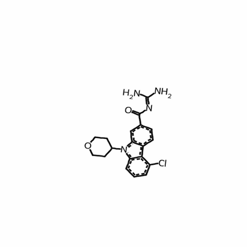 NC(N)=NC(=O)c1ccc2c3c(Cl)cccc3n(C3CCOCC3)c2c1